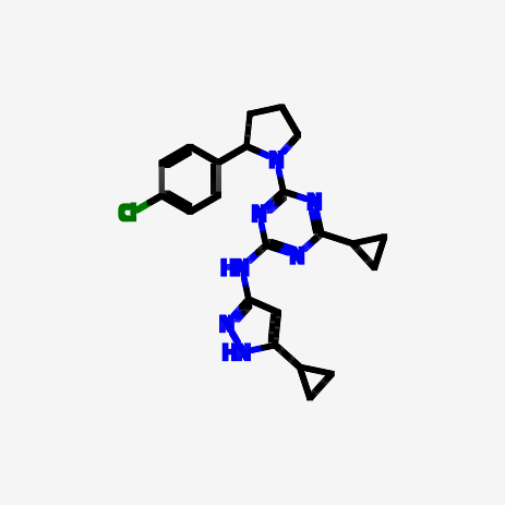 Clc1ccc(C2CCCN2c2nc(Nc3cc(C4CC4)[nH]n3)nc(C3CC3)n2)cc1